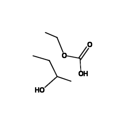 CCC(C)O.CCOC(=O)O